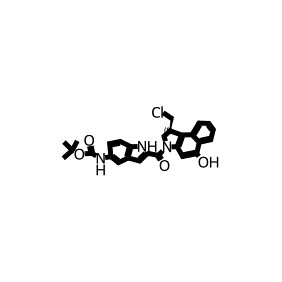 CC(C)(C)OC(=O)Nc1ccc2[nH]c(C(=O)N3C[C@@H](CCl)c4c3cc(O)c3ccccc43)cc2c1